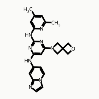 Cc1cc(C)nc(Nc2nc(Nc3ccn4ccnc4c3)cc(N3CC4(COC4)C3)n2)c1